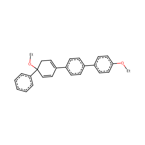 CCOc1ccc(-c2ccc(C3=CCC(OCC)(c4ccccc4)C=C3)cc2)cc1